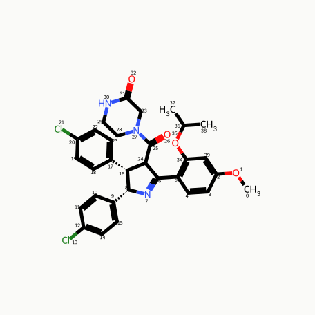 COc1ccc(C2=N[C@H](c3ccc(Cl)cc3)[C@H](c3ccc(Cl)cc3)C2C(=O)N2CCNC(=O)C2)c(OC(C)C)c1